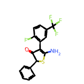 NC1=C(c2cc(C(F)(F)F)ccc2F)C(=O)C(c2ccccc2)S1